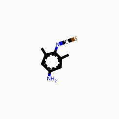 Cc1cc(N)cc(C)c1N=C=S